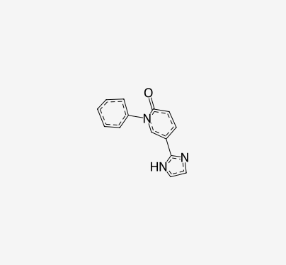 O=c1ccc(-c2ncc[nH]2)cn1-c1ccccc1